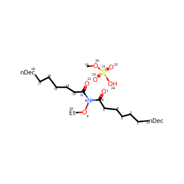 CCCCCCCCCCCCCCCC(=O)N(OCC)C(=O)CCCCCCCCCCCCCCC.COS(=O)(=O)O